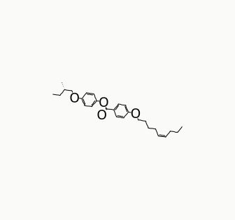 CCC/C=C\CCCCOc1ccc(C(=O)Oc2ccc(OC[C@@H](C)CC)cc2)cc1